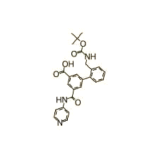 CC(C)(C)OC(=O)NCc1ccccc1-c1cc(C(=O)O)cc(C(=O)Nc2ccncc2)c1